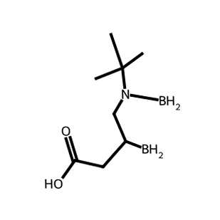 BC(CC(=O)O)CN(B)C(C)(C)C